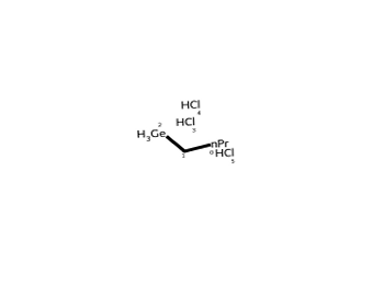 CCC[CH2][GeH3].Cl.Cl.Cl